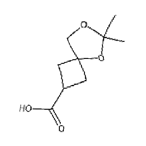 CC1(C)OCC2(CC(C(=O)O)C2)O1